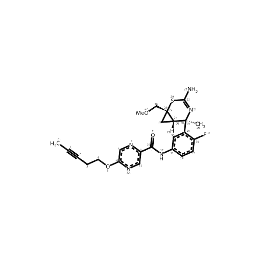 CC#CCCOc1cnc(C(=O)Nc2ccc(F)c([C@]3(C)N=C(N)S[C@@]4(COC)C[C@H]43)c2)cn1